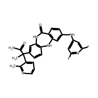 Cc1ncccc1C(C)(C(N)=O)c1ccc2c(c1)NC(=O)c1ccc(Nc3cc(F)nc(F)c3)cc1N2